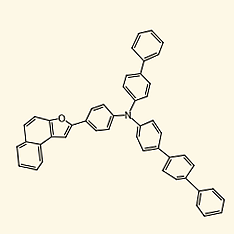 c1ccc(-c2ccc(-c3ccc(N(c4ccc(-c5ccccc5)cc4)c4ccc(-c5cc6c(ccc7ccccc76)o5)cc4)cc3)cc2)cc1